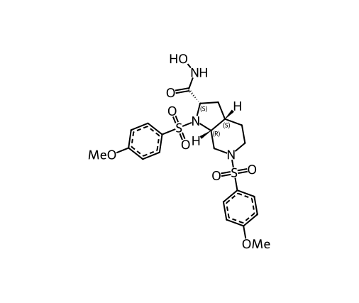 COc1ccc(S(=O)(=O)N2CC[C@H]3C[C@@H](C(=O)NO)N(S(=O)(=O)c4ccc(OC)cc4)[C@H]3C2)cc1